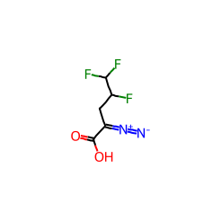 [N-]=[N+]=C(CC(F)C(F)F)C(=O)O